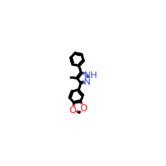 Cc1c(-c2ccc3c(c2)OCO3)n[nH]c1-c1ccccc1